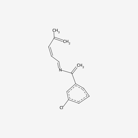 C=C(C)/C=C\C=N\C(=C)c1cccc(Cl)c1